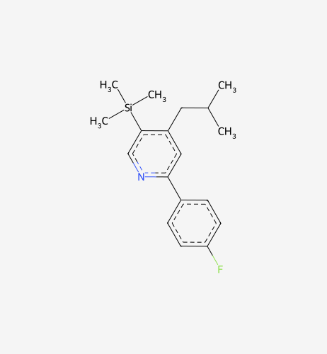 CC(C)Cc1cc(-c2ccc(F)cc2)ncc1[Si](C)(C)C